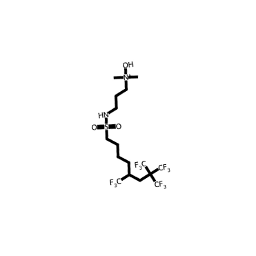 C[N+](C)(O)CCCNS(=O)(=O)CCCCC(CC(C(F)(F)F)(C(F)(F)F)C(F)(F)F)C(F)(F)F